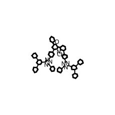 Cn1c2c(-c3ccc(-c4nc(-c5ccccc5)nc(-c5cc(-c6ccccc6)cc(-c6ccccc6)c5)n4)cc3)cccc2c2c3oc4ccccc4c3cc(-c3ccc(-c4nc(-c5ccccc5)nc(-c5cc(-c6ccccc6)cc(-c6ccccc6)c5)n4)cc3)c21